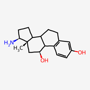 C[C@]12C[C@H](O)C3c4ccc(O)cc4CCC3C1CC[C@@H]2N